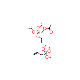 C=CC[Si](OC)(OC)OC.CCO[Si](COC(C)=O)(OCC)OCC